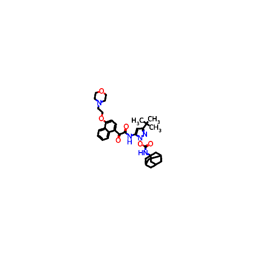 CC(C)(C)c1cc(NC(=O)C(=O)c2ccc(OCCN3CCOCC3)c3ccccc23)n(OC(=O)NC23CC4CC(CC(C4)C2)C3)n1